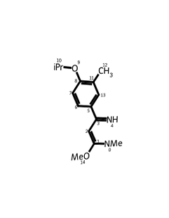 CN/C(=C\C(=N)c1ccc(OC(C)C)c(C)c1)OC